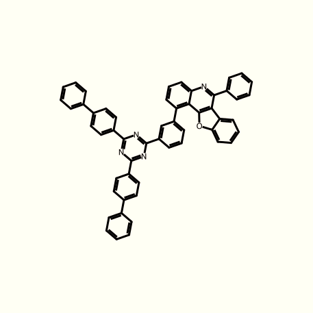 c1ccc(-c2ccc(-c3nc(-c4ccc(-c5ccccc5)cc4)nc(-c4cccc(-c5cccc6nc(-c7ccccc7)c7c8ccccc8oc7c56)c4)n3)cc2)cc1